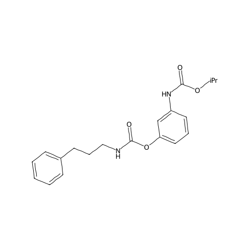 CC(C)OC(=O)Nc1cccc(OC(=O)NCCCc2ccccc2)c1